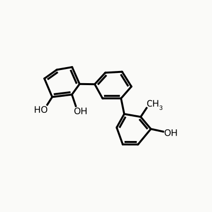 Cc1c(O)cccc1-c1cccc(-c2cccc(O)c2O)c1